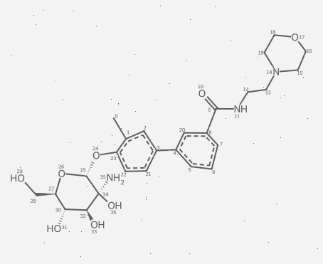 Cc1cc(-c2cccc(C(=O)NCCN3CCOCC3)c2)ccc1O[C@H]1O[C@H](CO)[C@@H](O)[C@H](O)[C@]1(N)O